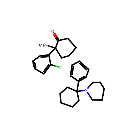 CNC1(c2ccccc2Cl)CCCCC1=O.c1ccc(C2(N3CCCCC3)CCCCC2)cc1